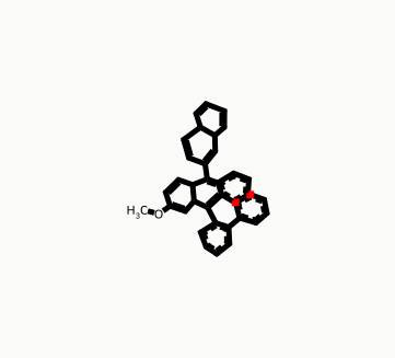 COC1=CC2C(c3ccccc3-c3ccccc3)=c3ccccc3=C(C3=CC4C=CC=CC4C=C3)C2C=C1